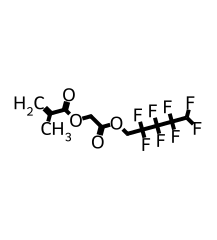 C=C(C)C(=O)OCC(=O)OCC(F)(F)C(F)(F)C(F)(F)C(F)F